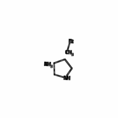 C1CCNC1.CCC.N